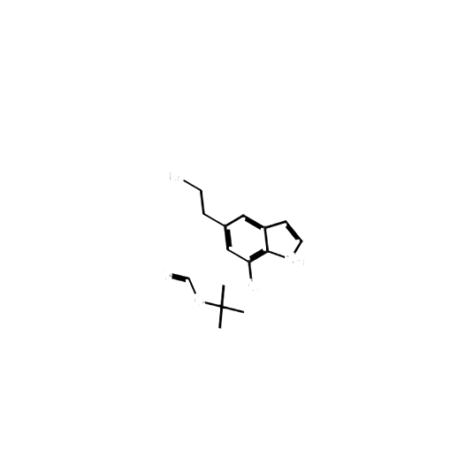 CC(C)(C)OC=O.Clc1cc(CCBr)cc2cc[nH]c12